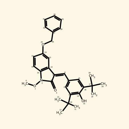 CON1C(=O)C(=Cc2cc(C(C)(C)C)c(O)c(C(C)(C)C)c2)c2cc(OCc3ccccc3)ccc21